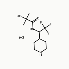 CC(C)(O)C(=O)NC(C1CCNCC1)C(F)(F)F.Cl